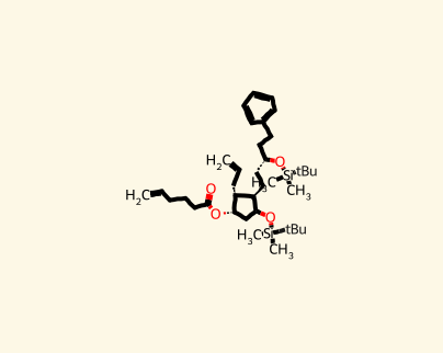 C=CCCCC(=O)O[C@H]1CC(O[Si](C)(C)C(C)(C)C)[C@H](CC[C@H](CCc2ccccc2)O[Si](C)(C)C(C)(C)C)[C@H]1CC=C